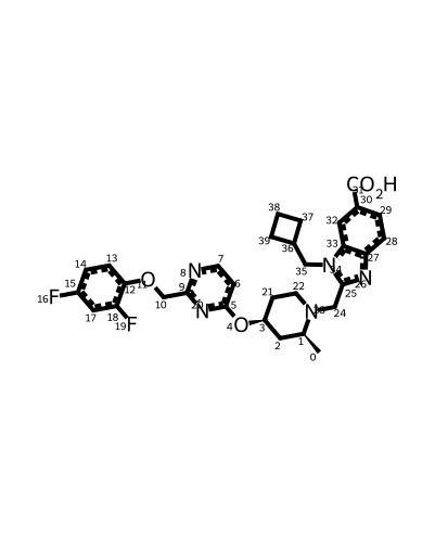 C[C@H]1C[C@@H](Oc2ccnc(COc3ccc(F)cc3F)n2)CCN1Cc1nc2ccc(C(=O)O)cc2n1CC1CCC1